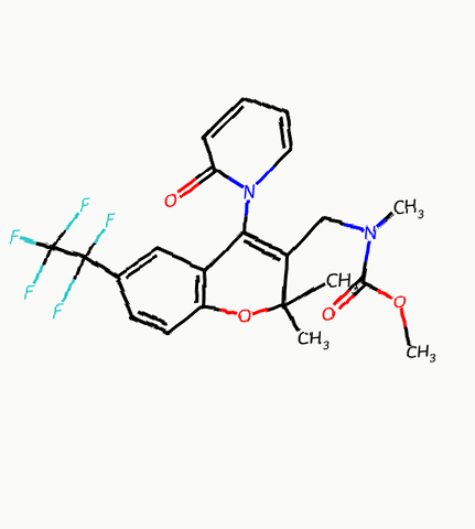 COC(=O)N(C)CC1=C(n2ccccc2=O)c2cc(C(F)(F)C(F)(F)F)ccc2OC1(C)C